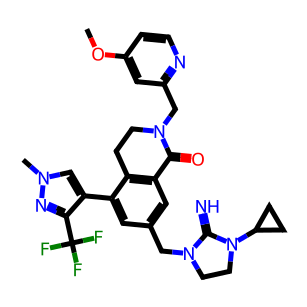 COc1ccnc(CN2CCc3c(cc(CN4CCN(C5CC5)C4=N)cc3-c3cn(C)nc3C(F)(F)F)C2=O)c1